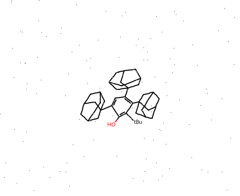 CC(C)(C)c1c(O)c(C23CC4CC(CC(C4)C2)C3)cc(C23CC4CC(CC(C4)C2)C3)c1C12CC3CC(CC(C3)C1)C2